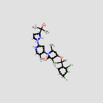 [2H]C([2H])(Oc1cc(C)n(-c2cc(-n3ccc(C(C)(C)O)n3)ncc2C)c(=O)c1Cl)c1ccc(F)cc1F